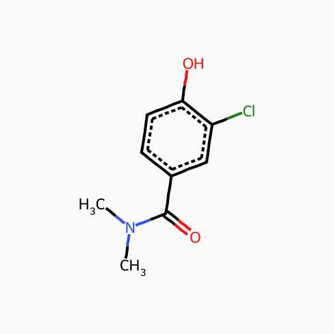 CN(C)C(=O)c1ccc(O)c(Cl)c1